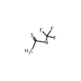 CC(=S)[N]C(F)(F)F